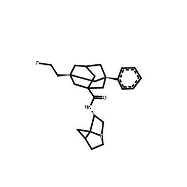 O=C(N[C@@H]1CN2CCC3CC312)C12CC3C[C@@](CCF)(C1)C[C@](c1ccccc1)(C3)C2